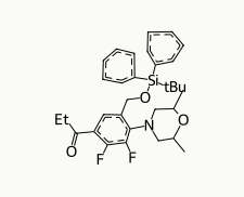 CCC(=O)c1cc(CO[Si](c2ccccc2)(c2ccccc2)C(C)(C)C)c(N2CC(C)OC(C)C2)c(F)c1F